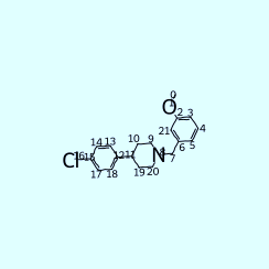 COc1cccc(CN2CCC(c3ccc(Cl)cc3)CC2)c1